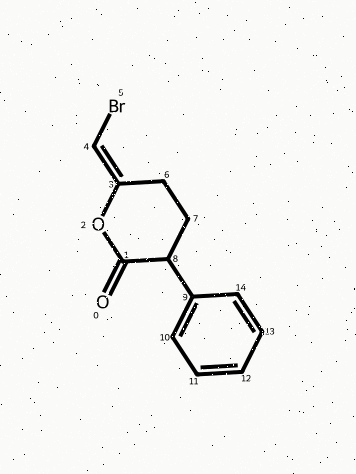 O=C1O/C(=C/Br)CCC1c1ccccc1